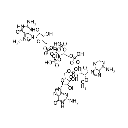 CO[C@H]1C(n2cnc3c(N)ncnc32)O[C@H](COP(=O)(O)OCC(OP(=O)(O)O)C(COP(=O)(O)OC[C@H]2OC(n3c[n+](C)c4c(=O)[nH]c(N)nc43)[C@H](O)[C@@H]2O)OP(=O)(O)O)[C@H]1OP(=O)(O)OC[C@H]1OC(n2cnc3c(=O)[nH]c(N)nc32)[C@H](O)[C@@H]1O